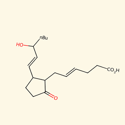 CCCCC(O)/C=C/C1CCC(=O)C1C/C=C/CCC(=O)O